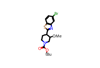 COC1CN(C(=O)OC(C)(C)C)CCC1c1nc2cc(Br)ccc2s1